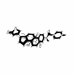 CN1CCN(C(=O)N(C)[C@H]2CC[C@@]3(C)[C@H](CC[C@H]4C5=CC[C@H](C6=CC(=O)OC6)[C@@]5(C)CC[C@@H]43)C2)CC1